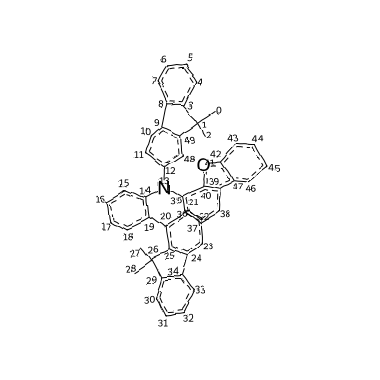 CC1(C)c2ccccc2-c2ccc(N(c3ccccc3-c3cccc4c3C(C)(C)c3ccccc3-4)c3cccc4c3oc3ccccc34)cc21